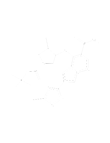 Cc1noc(-c2cc3c(NC4CN(C(=O)OC(C)(C)C)CC4C)c(C(N)=O)cnn3c2)n1